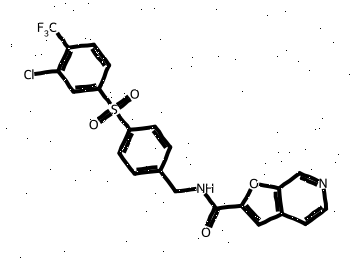 O=C(NCc1ccc(S(=O)(=O)c2ccc(C(F)(F)F)c(Cl)c2)cc1)c1cc2ccncc2o1